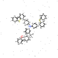 CC1(C)c2cc(N(c3ccc(-c4cccc5c4sc4ccccc45)cc3)c3ccc(-c4cccc5c4sc4ccccc45)cc3)ccc2-c2c1ccc1c2oc2ccccc21